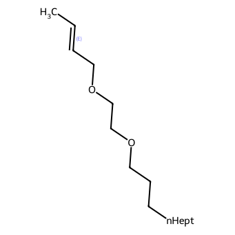 C/C=C/COCCOCCCCCCCCCC